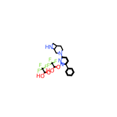 O=C(O)C(F)(F)F.O=C(O)C(F)(F)F.c1ccc(-c2ccc(N3CCC4CNC4C3)nn2)cc1